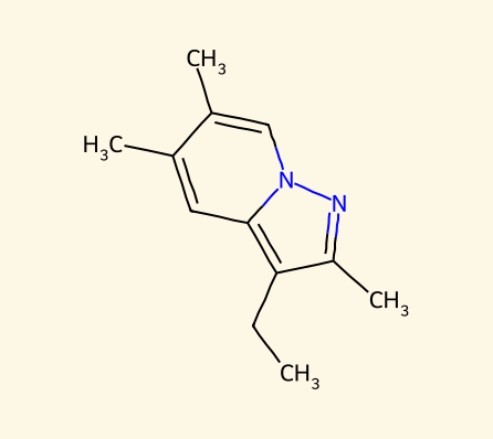 CCc1c(C)nn2cc(C)c(C)cc12